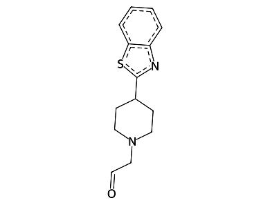 O=CCN1CCC(c2nc3ccccc3s2)CC1